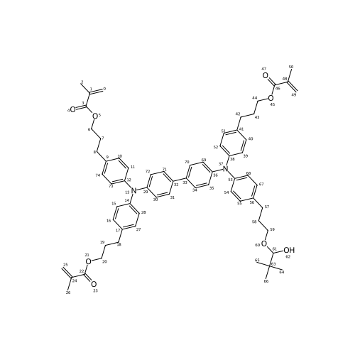 C=C(C)C(=O)OCCCc1ccc(N(c2ccc(CCCOC(=O)C(=C)C)cc2)c2ccc(-c3ccc(N(c4ccc(CCCOC(=O)C(=C)C)cc4)c4ccc(CCCOC(O)C(C)(C)C)cc4)cc3)cc2)cc1